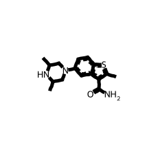 Cc1sc2ccc(N3CC(C)NC(C)C3)cc2c1C(N)=O